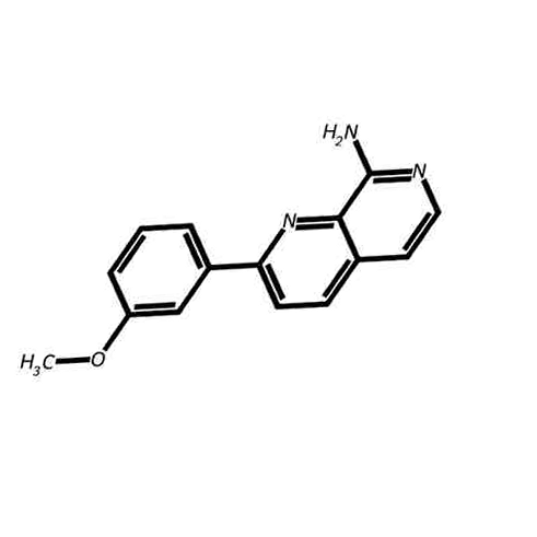 COc1cccc(-c2ccc3ccnc(N)c3n2)c1